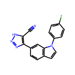 N#Cc1[nH]nnc1-c1ccc2ccn(-c3ccc(F)cc3)c2c1